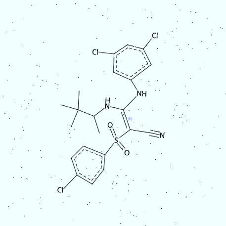 CC(N/C(Nc1cc(Cl)cc(Cl)c1)=C(/C#N)S(=O)(=O)c1ccc(Cl)cc1)C(C)(C)C